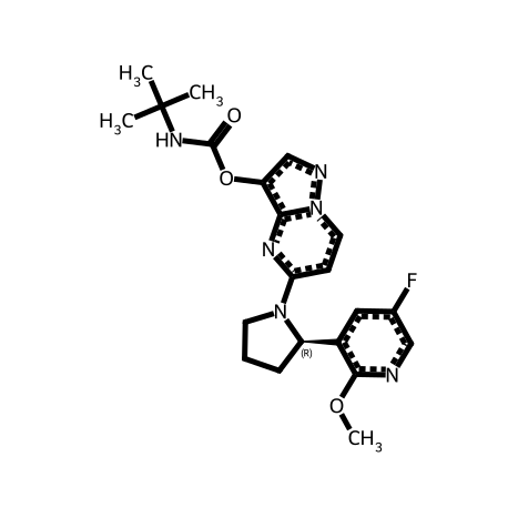 COc1ncc(F)cc1[C@H]1CCCN1c1ccn2ncc(OC(=O)NC(C)(C)C)c2n1